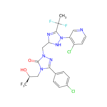 CC(F)(F)C1=NC(Cn2nc(-c3ccc(Cl)cc3)n(C[C@H](O)C(F)(F)F)c2=O)NN1c1cnccc1Cl